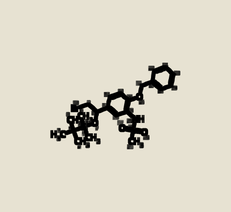 CC(C)(C)[Si](C)(C)OC(CBr)c1ccc(OCc2ccccc2)c(NS(C)(=O)=O)c1